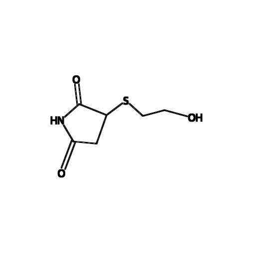 O=C1CC(SCCO)C(=O)N1